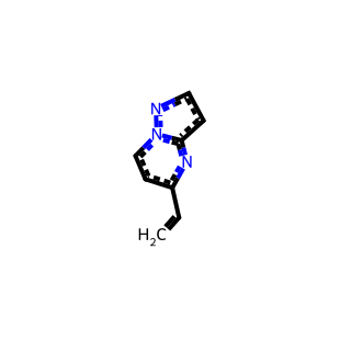 C=Cc1ccn2nccc2n1